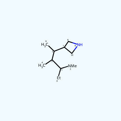 CCC(NC)C(C)C(C)C1CNC1